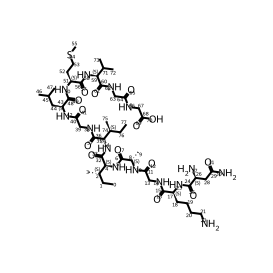 CC[C@H](C)[C@H](NC(=O)[C@H](C)NC(=O)CNC(=O)[C@H](CCCCN)NC(=O)[C@@H](N)CC(N)=O)C(=O)N[C@H](C(=O)NCC(=O)N[C@@H](CC(C)C)C(=O)N[C@@H](CCSC)C(=O)N[C@H](C(=O)NCC(=O)NCC(=O)O)C(C)C)[C@@H](C)CC